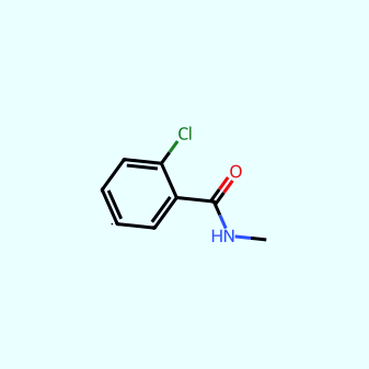 CNC(=O)c1c[c]ccc1Cl